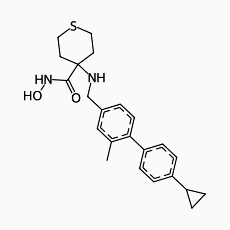 Cc1cc(CNC2(C(=O)NO)CCSCC2)ccc1-c1ccc(C2CC2)cc1